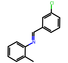 Cc1ccccc1N=Cc1cccc(Cl)c1